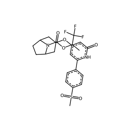 CC(OC(=O)N1C2CCC1CC(Oc1cc(-c3ccc(S(C)(=O)=O)cc3)[nH]c(=O)c1)C2)C(F)(F)F